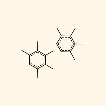 Cc1cc(C)c(C)c(C)c1C.Cc1ccc(C)c(C)c1C